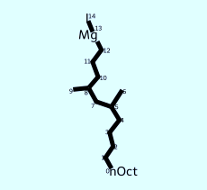 CCCCCCCCCCCCC(C)CC(C)CC[CH2][Mg][I]